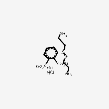 CCOC(=O)c1ccccc1C(=O)OCC.Cl.Cl.NCCSSCCN